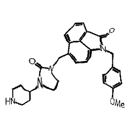 COc1ccc(CN2C(=O)c3cccc4c(CN5CCN(C6CCNCC6)C5=O)ccc2c34)cc1